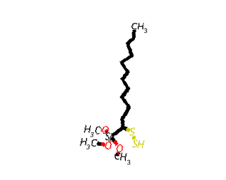 CCCCCCCCCCCC(SS)[Si](OC)(OC)OC